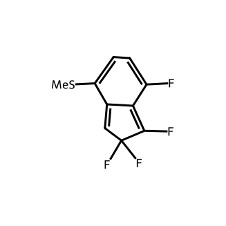 CSc1ccc(F)c2c1=CC(F)(F)C=2F